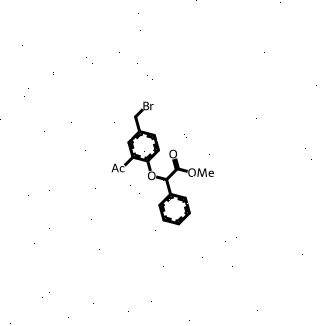 COC(=O)C(Oc1ccc(CBr)cc1C(C)=O)c1ccccc1